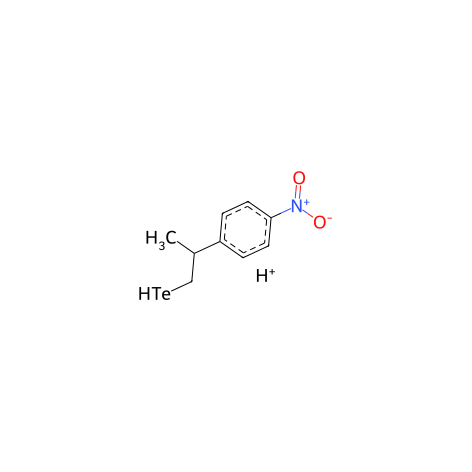 CC(C[TeH])c1ccc([N+](=O)[O-])cc1.[H+]